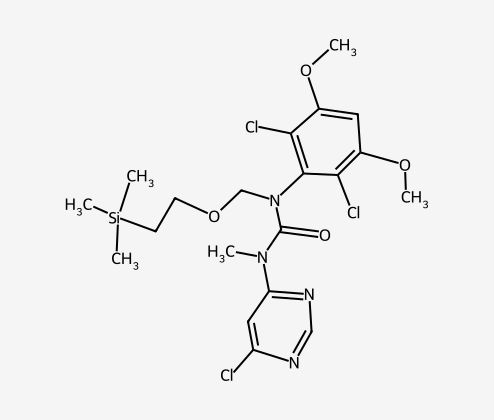 COc1cc(OC)c(Cl)c(N(COCC[Si](C)(C)C)C(=O)N(C)c2cc(Cl)ncn2)c1Cl